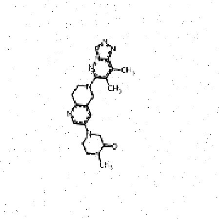 Cc1c(N2CCc3ncc(N4CCN(C)C(=O)C4)cc3C2)nn2cnnc2c1C